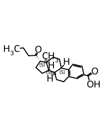 CCCC(=O)[C@H]1CC[C@H]2[C@@H]3CCc4cc(C(=O)O)ccc4[C@H]3CC[C@]12C